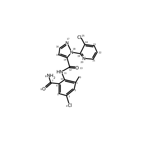 Cc1cc(Cl)cc(C(N)=O)c1NC(=O)c1ccnn1-c1ncccc1Cl